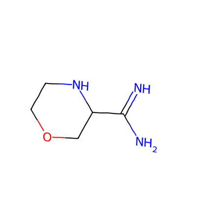 N=C(N)C1COCCN1